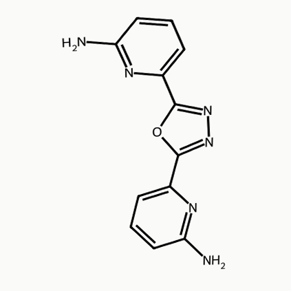 Nc1cccc(-c2nnc(-c3cccc(N)n3)o2)n1